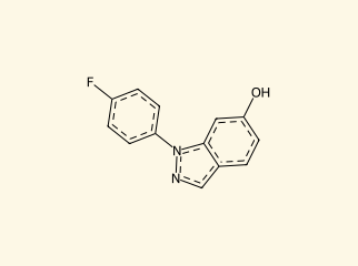 Oc1ccc2cnn(-c3ccc(F)cc3)c2c1